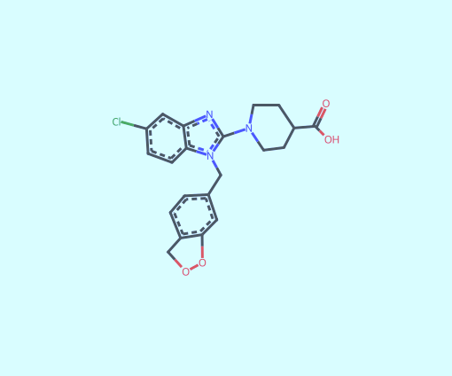 O=C(O)C1CCN(c2nc3cc(Cl)ccc3n2Cc2ccc3c(c2)OOC3)CC1